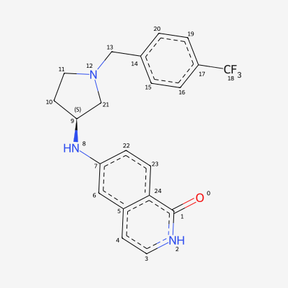 O=c1[nH]ccc2cc(N[C@H]3CCN(Cc4ccc(C(F)(F)F)cc4)C3)ccc12